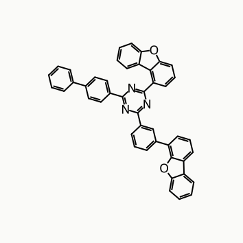 c1ccc(-c2ccc(-c3nc(-c4cccc(-c5cccc6c5oc5ccccc56)c4)nc(-c4cccc5oc6ccccc6c45)n3)cc2)cc1